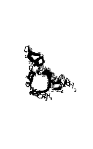 C[C@@H]1[C@@H](C)C/C=C/[C@](O)([C@H]2OCCN(C)C2=O)[C@@H]2CC[C@H]2CN2C[C@@]3(CCCc4cc(Cl)ccc43)COc3ccc(cc32)C(=O)NS1(=O)=O